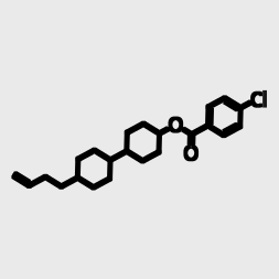 C=CCCC1CCC(C2CCC(OC(=O)c3ccc(Cl)cc3)CC2)CC1